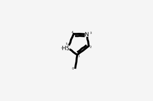 CC1=CN=C[SH]1